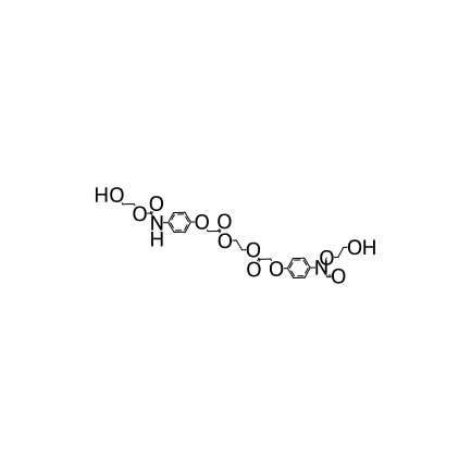 O=CN(OCCO)c1ccc(OCC(=O)OCCOC(=O)COc2ccc(NC(=O)OCCO)cc2)cc1